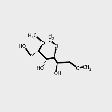 COC[C@@H](O)[C@H](OC)[C@H](O)[C@H](CO)OC